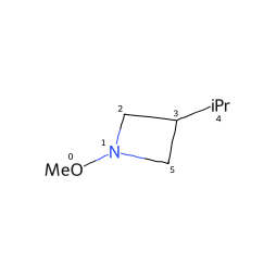 CON1CC(C(C)C)C1